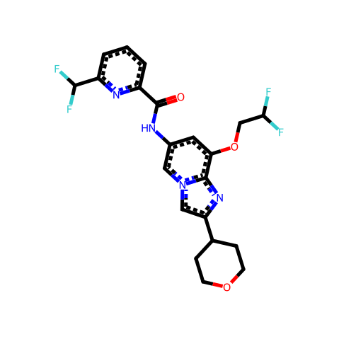 O=C(Nc1cc(OCC(F)F)c2nc(C3CCOCC3)cn2c1)c1cccc(C(F)F)n1